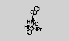 CC(C)c1c(C(=O)NN=Cc2cc3ccccc3o2)[nH]c2ccccc12